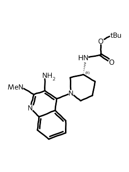 CNc1nc2ccccc2c(N2CCC[C@@H](NC(=O)OC(C)(C)C)C2)c1N